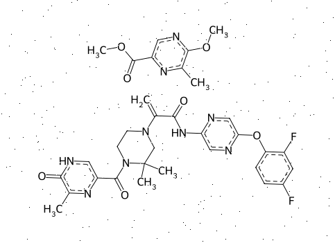 C=C(C(=O)Nc1cnc(Oc2ccc(F)cc2F)cn1)N1CCN(C(=O)c2c[nH]c(=O)c(C)n2)C(C)(C)C1.COC(=O)c1cnc(OC)c(C)n1